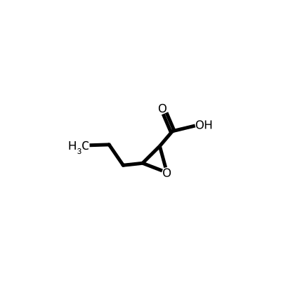 CCCC1OC1C(=O)O